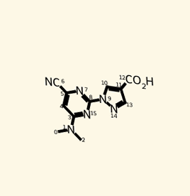 CN(C)c1cc(C#N)nc(-n2cc(C(=O)O)cn2)n1